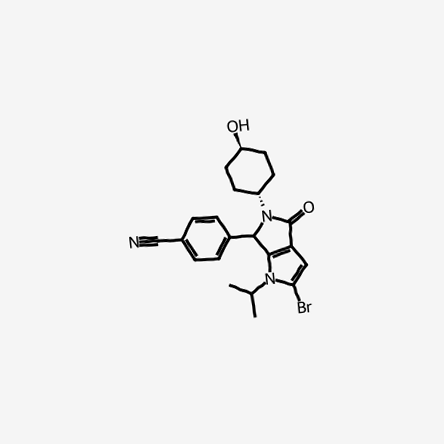 CC(C)n1c(Br)cc2c1C(c1ccc(C#N)cc1)N([C@H]1CC[C@H](O)CC1)C2=O